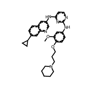 COc1cc(Nc2nccc(Nc3cnc4cc(C5CC5)ccc4c3)n2)ccc1OCCCN1CCCCC1